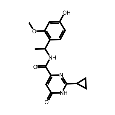 COc1cc(O)ccc1C(C)NC(=O)c1cc(=O)[nH]c(C2CC2)n1